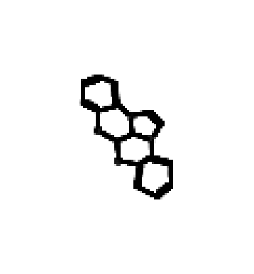 C1=CN2c3ccccc3OC3Oc4ccccc4N1C32